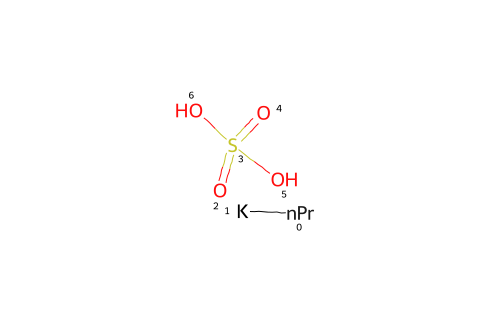 CC[CH2][K].O=S(=O)(O)O